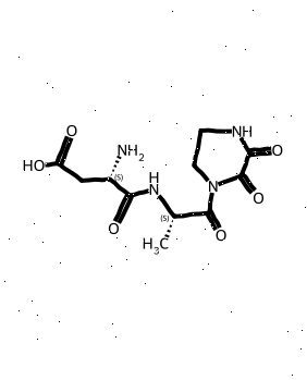 C[C@H](NC(=O)[C@@H](N)CC(=O)O)C(=O)N1CCNC(=O)C1=O